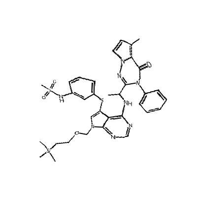 Cc1ccn2nc(C(C)Nc3ncnc4c3c(Sc3cccc(NS(C)(=O)=O)c3)cn4COCC[Si](C)(C)C)n(-c3ccccc3)c(=O)c12